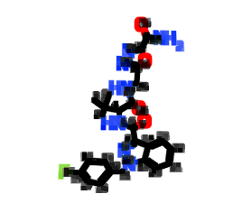 CC(C)(C)C(NC(=O)c1nn(Cc2ccc(F)cc2)c2ccccc12)C(=O)NCc1nnc(C(N)=O)o1